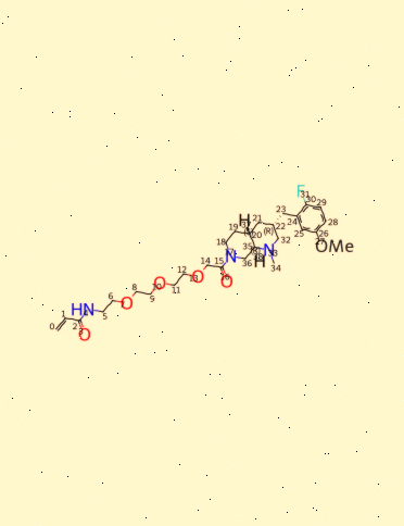 C=CC(=O)NCCOCCOCCOCC(=O)N1CC[C@@H]2C[C@H](Cc3cc(OC)ccc3F)CN(C)[C@H]2C1